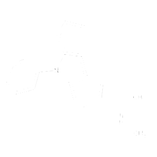 C/C=C(\C)c1ccc2c(c1)c1ccccc1n2-c1ccccc1